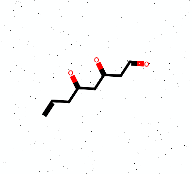 C=CCC(=O)CC(=O)C[C]=O